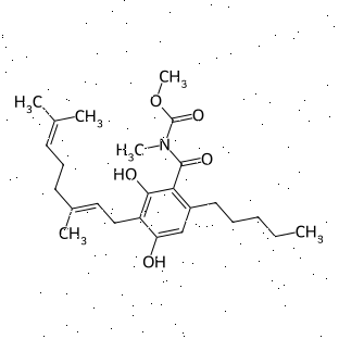 CCCCCc1cc(O)c(C/C=C(\C)CCC=C(C)C)c(O)c1C(=O)N(C)C(=O)OC